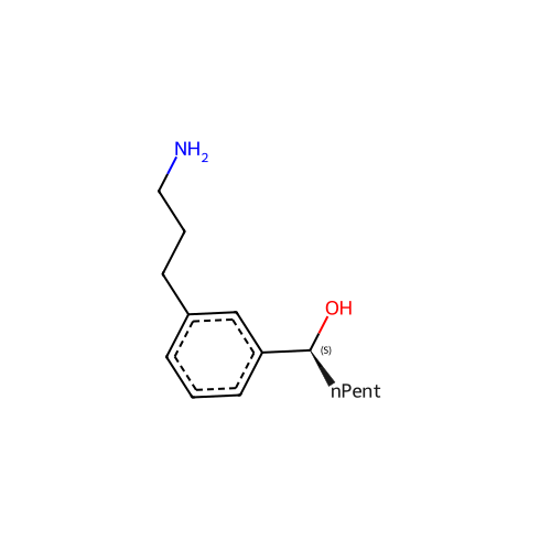 CCCCC[C@H](O)c1cccc(CCCN)c1